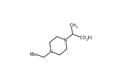 CCOC(=O)C(C)N1CCN(CC(C)(C)C)CC1